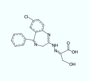 O=C(O)C(CO)=NNC1=Nc2ccc(Cl)cc2C(c2ccccc2)=NC1